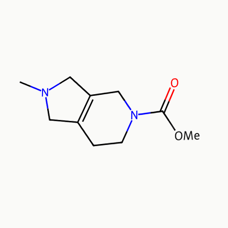 COC(=O)N1CCC2=C(CN(C)C2)C1